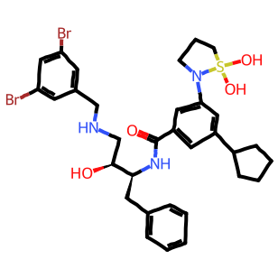 O=C(N[C@@H](Cc1ccccc1)[C@@H](O)CNCc1cc(Br)cc(Br)c1)c1cc(C2CCCC2)cc(N2CCCS2(O)O)c1